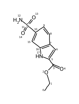 CCOC(=O)c1cc2ccc(S(N)(=O)=O)cc2[nH]1